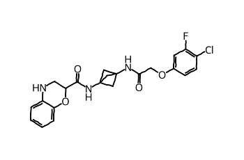 O=C(COc1ccc(Cl)c(F)c1)NC12CC(NC(=O)C3CNc4ccccc4O3)(C1)C2